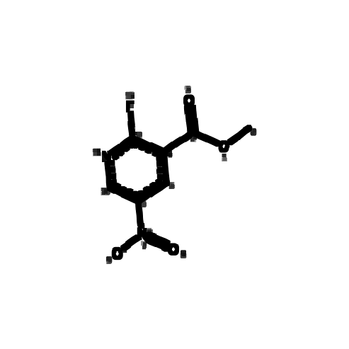 COC(=O)c1cc([N+](=O)[O-])cnc1F